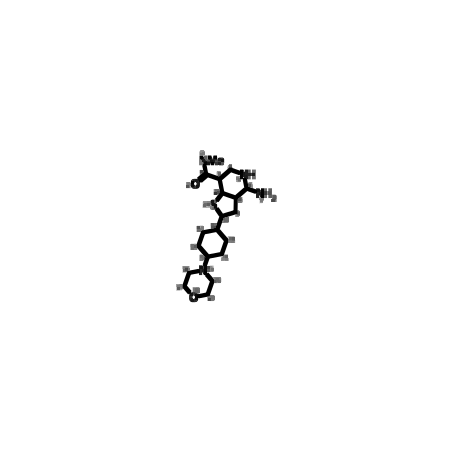 CNC(=O)C1CNC(N)C2CC(C3CCC(N4CCOCC4)CC3)SC12